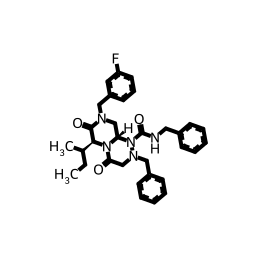 CCC(C)[C@H]1C(=O)N(Cc2cccc(F)c2)C[C@H]2N1C(=O)CN(Cc1ccccc1)N2C(=O)NCc1ccccc1